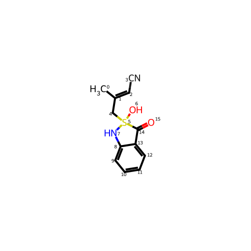 CC(=CC#N)CS1(O)Nc2ccccc2C1=O